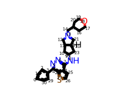 c1ccc(-c2nnc(N[C@@H]3CC4CN(CC5CCOCC5)C[C@H]4C3)c3ccsc23)cc1